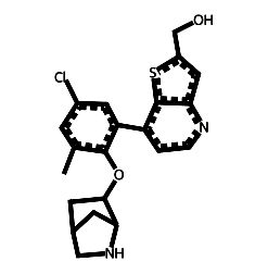 Cc1cc(Cl)cc(-c2ccnc3cc(CO)sc23)c1OC1CC2CNC1C2